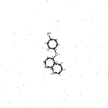 Fc1ccc(Oc2ccnc3ncccc23)cc1